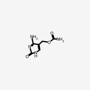 NC(=O)OCc1c[nH]c(=O)nc1N